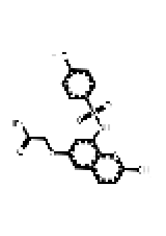 Cc1ccc(S(=O)(=O)Nc2cc(OCC(=O)C(C)C)cc3ccc(C)nc23)cc1